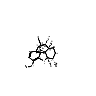 [2H]Oc1ccc2c3c1O[C@H]1[C@@H](O)CC[C@H]4[C@@H](C2)N(C)CC[C@@]341